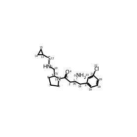 N[C@@H](CC(=O)N1CCC[C@H]1CNSC1CC1)Cc1cccc(Cl)c1